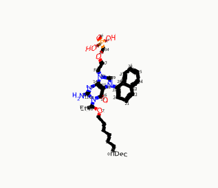 CCCCCCCCCCCCCCCCOC(CC)n1c(N)nc2c(c1=O)N(c1cccc3ccccc13)CN2CCOCP(=O)(O)O